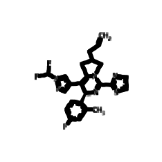 C=CCC1CC2=C(c3cnn(C(F)F)c3)[C@H](c3ccc(F)cc3C)N=C(c3nccs3)N2C1